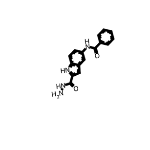 NNC(=O)c1cc2cc(NC(=O)c3ccccc3)ccc2[nH]1